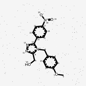 COc1ccc(Cn2c(CO)nnc2-c2ccc([N+](=O)[O-])cc2)cc1